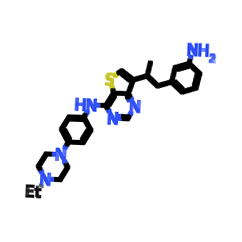 CCN1CCN(c2ccc(Nc3ncnc4c(C(C)Cc5cccc(N)c5)csc34)cc2)CC1